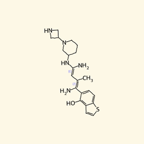 CC(/C=C(\N)NC1CCCN(C2CNC2)C1)=C(/N)c1ccc2sccc2c1O